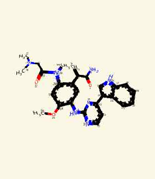 C=C(C(N)=O)c1cc(Nc2nccc(-c3c[nH]c4ccccc34)n2)c(OC)cc1N(C)C(=O)CN(C)C